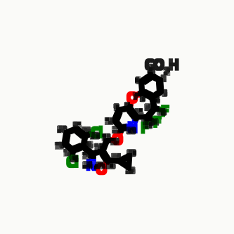 O=C(O)c1ccc2c(c1)Oc1ccc(OCc3c(-c4c(Cl)cccc4Cl)noc3C3CC3)nc1C(F)(F)C2F